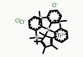 CC1=C(C)C(C)([Si](c2ccccc2[Si](C)(C)C)(c2ccccc2[Si](C)(C)C)c2ccccc2[Si](C)(C)C)[C]([Ti+3])=C1C.[Cl-].[Cl-].[Cl-]